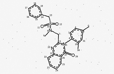 Cc1ccc(-n2c(CN(C)S(=O)(=O)Cc3ccccc3)nc3ccccc3c2=O)c(C)c1